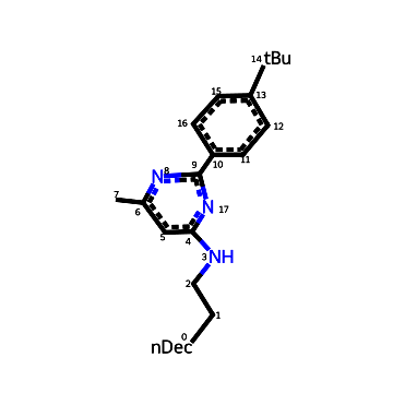 CCCCCCCCCCCCNc1cc(C)nc(-c2ccc(C(C)(C)C)cc2)n1